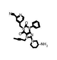 CC#CCn1c(N2CCC[C@@H](N)C2)nc2c1c(=O)n(Cc1ccnc(C#N)c1)c(=O)n2-c1ccccc1